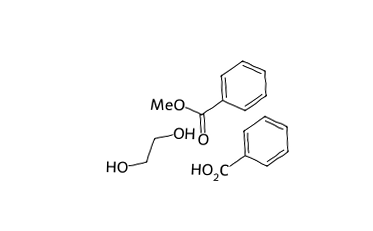 COC(=O)c1ccccc1.O=C(O)c1ccccc1.OCCO